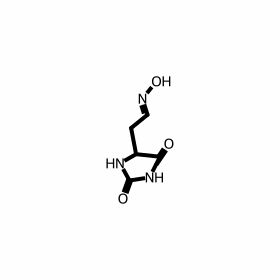 O=C1NC(=O)C(CC=NO)N1